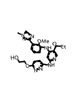 CCC(=O)c1cnc(Nc2ccc(OCCO)nn2)cc1Nc1cccc(-c2ncn(C)n2)c1OC